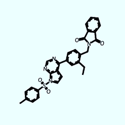 CCc1cc(-c2ncnc3c2ccn3S(=O)(=O)c2ccc(C)cc2)ccc1CN1C(=O)c2ccccc2C1=O